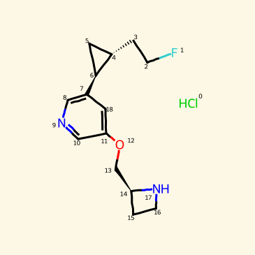 Cl.FCC[C@H]1C[C@@H]1c1cncc(OC[C@@H]2CCN2)c1